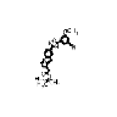 COc1cc(C#N)cc(-c2nc(-c3ccc4c(c3)cc3n4CCC3CC(=O)OC(C)(C)C)no2)c1